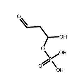 O=CCC(O)OP(=O)(O)O